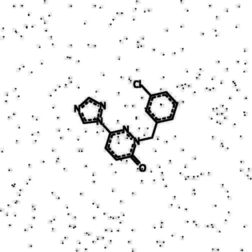 O=c1ccc(-n2cncn2)nn1Cc1cccc(Cl)c1